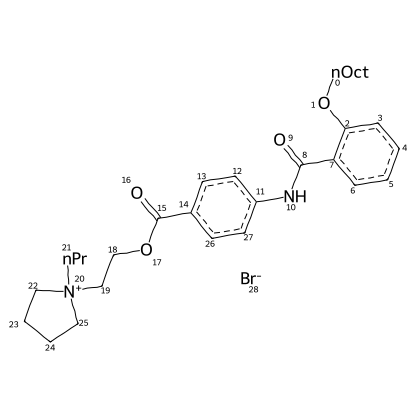 CCCCCCCCOc1ccccc1C(=O)Nc1ccc(C(=O)OCC[N+]2(CCC)CCCC2)cc1.[Br-]